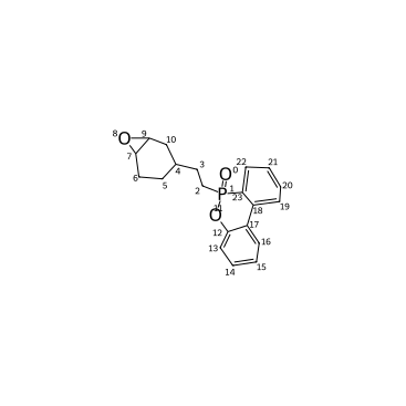 O=P1(CCC2CCC3OC3C2)Oc2ccccc2-c2ccccc21